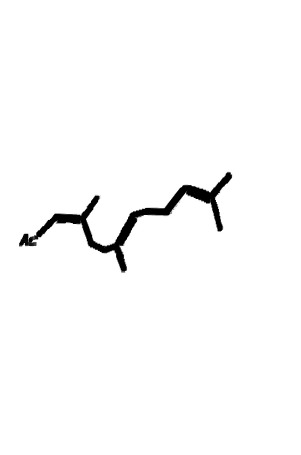 CC(=O)C=C(C)CC(C)=CCC=C(C)C